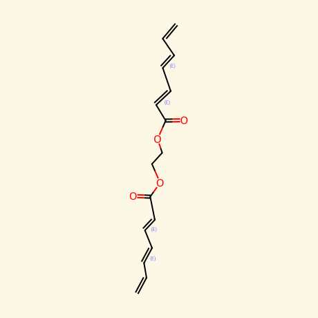 C=C/C=C/C=C/C(=O)OCCOC(=O)/C=C/C=C/C=C